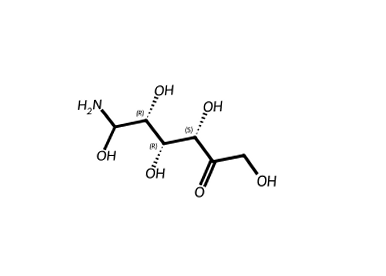 NC(O)[C@H](O)[C@@H](O)[C@H](O)C(=O)CO